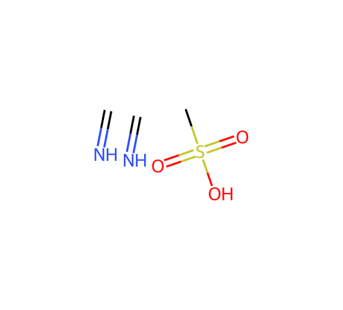 C=N.C=N.CS(=O)(=O)O